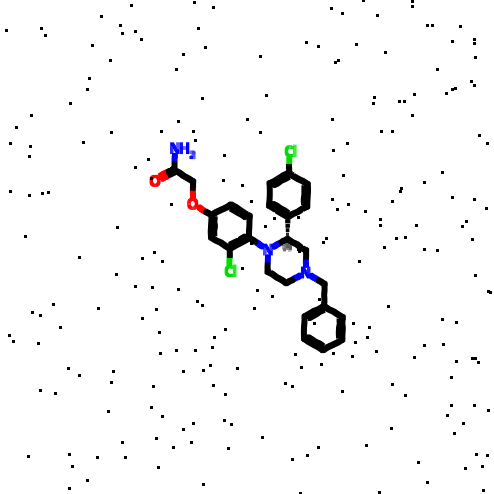 NC(=O)COc1ccc(N2CCN(Cc3ccccc3)C[C@H]2c2ccc(Cl)cc2)c(Cl)c1